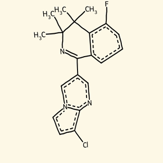 CC1(C)N=C(c2cnc3c(Cl)ccn3c2)c2cccc(F)c2C1(C)C